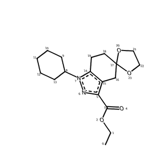 CCOC(=O)c1nn(C2CCCCC2)c2c1CC1(CC2)OCCO1